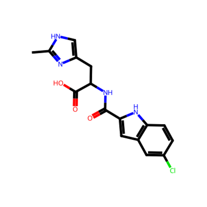 Cc1nc(CC(NC(=O)c2cc3cc(Cl)ccc3[nH]2)C(=O)O)c[nH]1